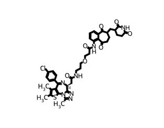 Cc1sc2c(c1C)C(c1ccc(Cl)cc1)=N[C@@H](CC(=O)NCCCOCCC(=O)Nc1cccc3c1C(=O)CCC(CC1CCC(=O)NC1=O)C3=O)c1nnc(C)n1-2